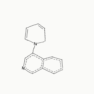 C1=CCN(c2cncc3ccccc23)C=C1